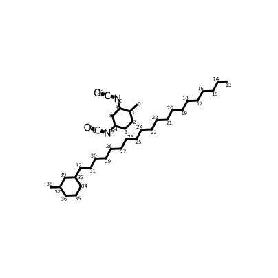 CC1CCC(N=C=O)CC1N=C=O.CCCCCCCCCCCCCCCCCCCCC1CCCC(C)C1